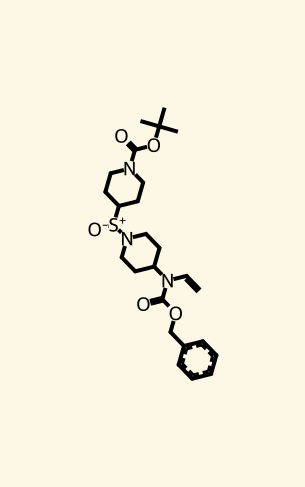 C=CN(C(=O)OCc1ccccc1)C1CCN([S+]([O-])C2CCN(C(=O)OC(C)(C)C)CC2)CC1